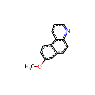 COc1ccc2c(ccc3ncccc32)c1